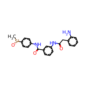 C[S+]([O-])c1ccc(NC(=O)c2cccc(NC(=O)Cc3ccccc3N)c2)cc1